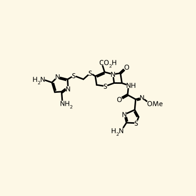 CON=C(C(=O)NC1C(=O)N2C(C(=O)O)=C(SCSc3nc(N)cc(N)n3)CSC12)c1csc(N)n1